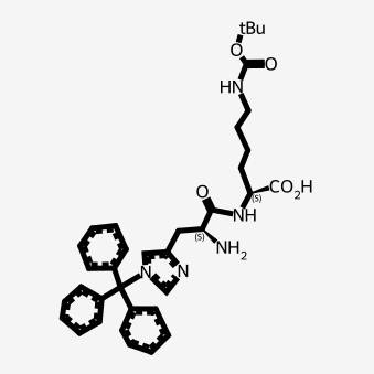 CC(C)(C)OC(=O)NCCCC[C@H](NC(=O)[C@@H](N)Cc1cn(C(c2ccccc2)(c2ccccc2)c2ccccc2)cn1)C(=O)O